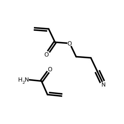 C=CC(=O)OCCC#N.C=CC(N)=O